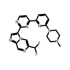 CN1CCN(c2cccc(-c3ccnc(-c4cnc5cnc(C(F)F)cn45)n3)n2)CC1